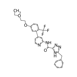 CCOCCOc1ccc(C(F)(F)F)c(-c2ccnc(NC(=O)c3nnc(Cc4ccccc4)[nH]3)c2)c1